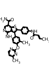 CC=CC(=O)Nc1ccc(-c2sc3c(C(N)=O)cnc(N)c3c2-c2ccc(Oc3nccc(C)n3)c(C)c2)cc1